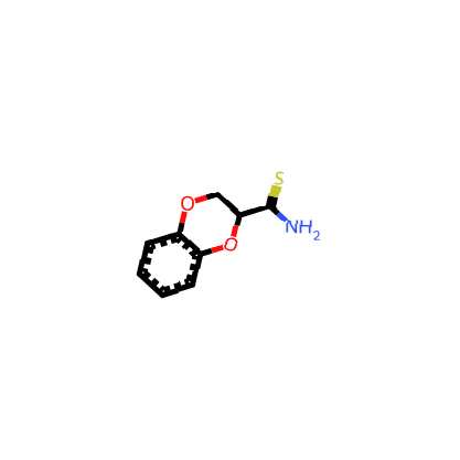 NC(=S)C1COc2ccccc2O1